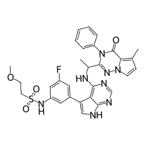 COCCS(=O)(=O)Nc1cc(F)cc(-c2c[nH]c3ncnc(NC(C)c4nn5ccc(C)c5c(=O)n4-c4ccccc4)c23)c1